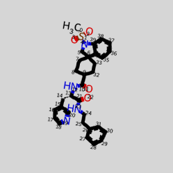 CS(=O)(=O)N1CC2(CCC(C(=O)N[C@@H](Cc3cccnc3)C(=O)NCCc3ccccc3)CC2)c2ccccc21